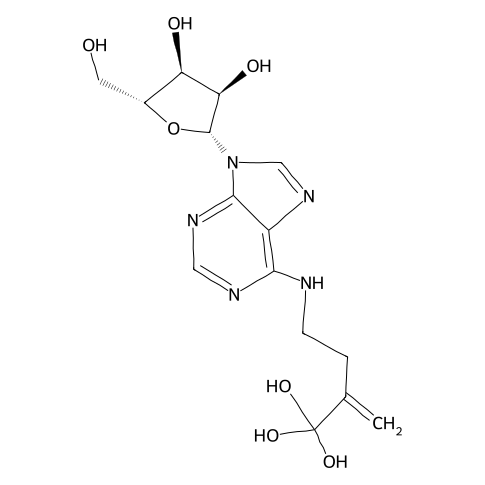 C=C(CCNc1ncnc2c1ncn2[C@@H]1O[C@H](CO)[C@@H](O)[C@H]1O)C(O)(O)O